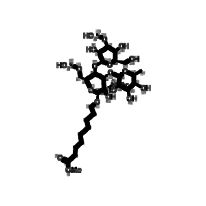 COC(=O)CCCCCCCCO[C@@H]1O[C@H](COS(=O)(=O)O)[C@@H](O[C@@H]2O[C@H](CO)[C@H](O)[C@H](OS(=O)(=O)O)[C@H]2O)[C@H](OC2O[C@@H](C)[C@@H](O)[C@@H](O)[C@@H]2O)[C@]1(O)NC(C)=O